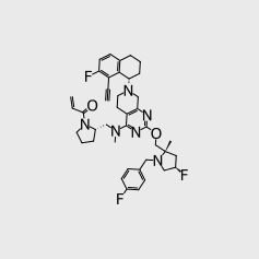 C#Cc1c(F)ccc2c1[C@@H](N1CCc3c(nc(OC[C@]4(C)C[C@@H](F)CN4Cc4ccc(F)cc4)nc3N(C)C[C@@H]3CCCN3C(=O)C=C)C1)CCC2